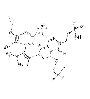 Cn1ncc(-c2cc(OCC(F)(F)F)c3c(=O)n(COP(=O)(O)O)nc(CN)c3c2)c1-c1c(F)c(Cl)cc(OC2CC2)c1C#N